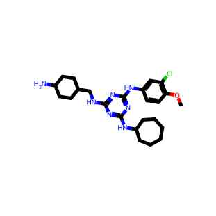 COc1ccc(Nc2nc(NCC3CCC(N)CC3)nc(NC3CCCCCC3)n2)cc1Cl